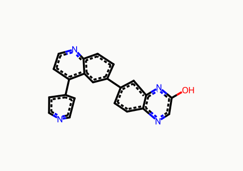 Oc1cnc2ccc(-c3ccc4nccc(-c5ccncc5)c4c3)cc2n1